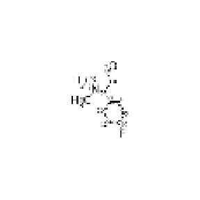 CN(C)C(CC=O)c1ccc(F)cc1